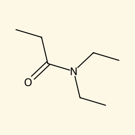 CCC(=O)N(CC)CC